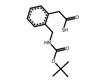 CC(C)(C)OC(=O)NCc1ccccc1CC(=O)S